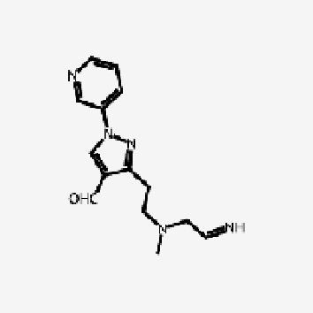 CN(CC=N)CCc1nn(-c2cccnc2)cc1C=O